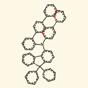 c1ccc(-c2ccc(-c3ccccc3N(c3ccc(-c4ccccc4)cc3)c3cccc4c3-c3ccccc3C4(c3ccccc3)c3ccccc3)cc2)cc1